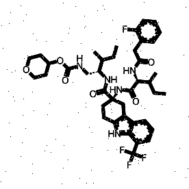 CCC(C)[C@H](NC(=O)Cc1ccccc1F)C(=O)N[C@]1(C(=O)N[C@H](CNC(=O)OC2CCOCC2)C(C)CC)CCc2[nH]c3c(C(F)(F)F)cccc3c2C1